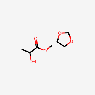 C1COCO1.COC(=O)C(C)O